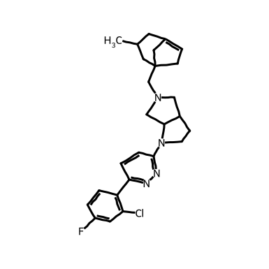 CC1CC2=CCC(CN3CC4CCN(c5ccc(-c6ccc(F)cc6Cl)nn5)C4C3)(C2)C1